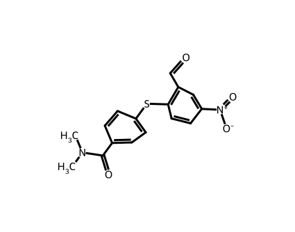 CN(C)C(=O)c1ccc(Sc2ccc([N+](=O)[O-])cc2C=O)cc1